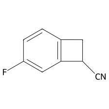 N#CC1Cc2ccc(F)cc21